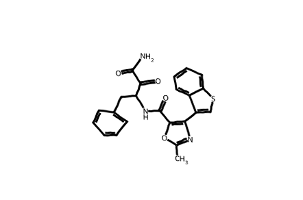 Cc1nc(-c2csc3ccccc23)c(C(=O)NC(Cc2ccccc2)C(=O)C(N)=O)o1